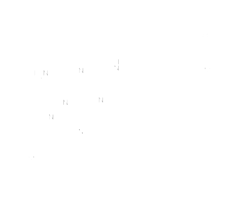 Nc1nc(NCc2ccc3c(c2)OCO3)nc2nc(-c3ccco3)nn12